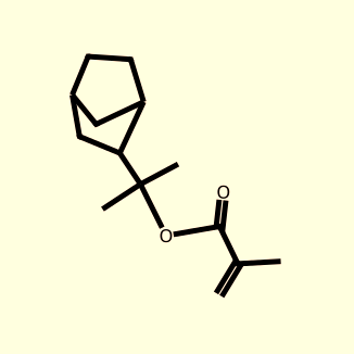 C=C(C)C(=O)OC(C)(C)C1CC2CCC1C2